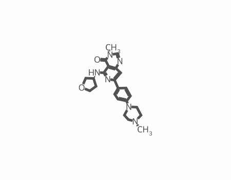 CN1CCN(c2ccc(-c3cc4ncn(C)c(=O)c4c(N[C@@H]4CCOC4)n3)cc2)CC1